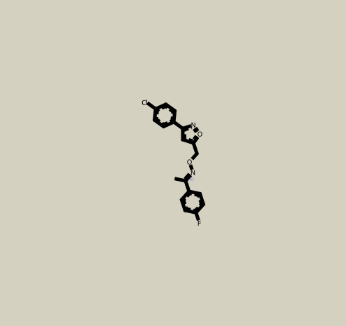 C/C(=N\OCc1cc(-c2ccc(Cl)cc2)no1)c1ccc(F)cc1